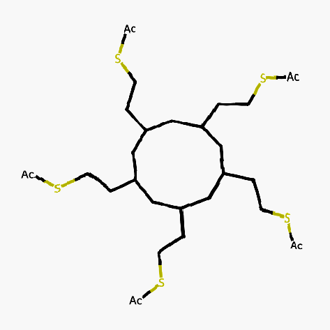 CC(=O)SCCC1CC(CCSC(C)=O)CC(CCSC(C)=O)CC(CCSC(C)=O)CC(CCSC(C)=O)C1